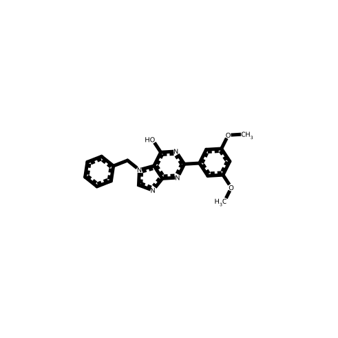 COc1cc(OC)cc(-c2nc(O)c3c(ncn3Cc3ccccc3)n2)c1